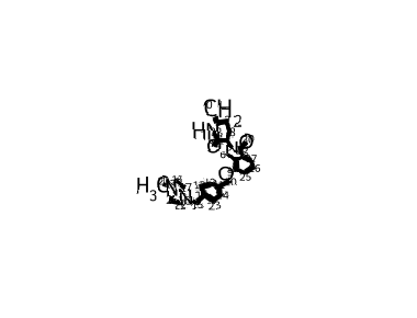 C=C1CCC(N2Cc3c(OCc4ccc(CN5CCN(C)CC5)cc4)cccc3C2=O)C(=O)N1